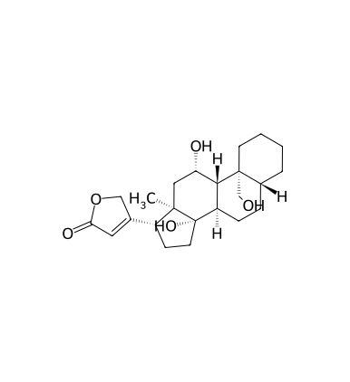 C[C@]12C[C@H](O)[C@H]3[C@@H](CC[C@H]4CCCC[C@@]43CO)[C@@]1(O)CC[C@@H]2C1=CC(=O)OC1